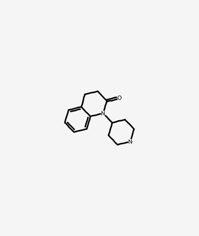 O=C1CCc2ccccc2N1C1CC[N]CC1